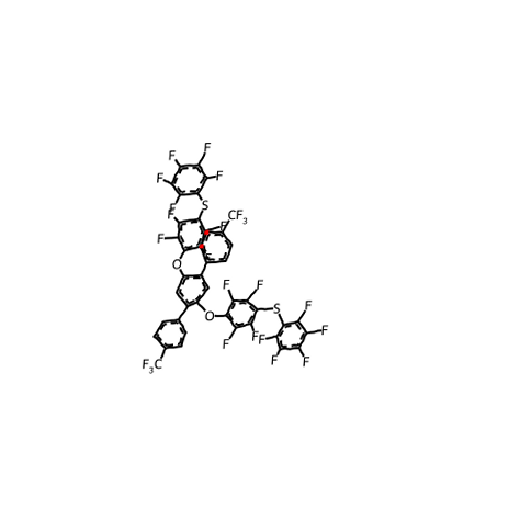 Fc1c(F)c(F)c(Sc2c(F)c(F)c(Oc3cc(-c4ccc(C(F)(F)F)cc4)c(Oc4c(F)c(F)c(Sc5c(F)c(F)c(F)c(F)c5F)c(F)c4F)cc3-c3ccc(C(F)(F)F)cc3)c(F)c2F)c(F)c1F